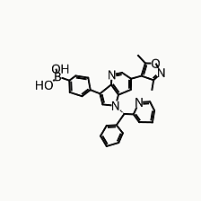 Cc1noc(C)c1-c1cnc2c(-c3ccc(B(O)O)cc3)cn([C@@H](c3ccccc3)c3ccccn3)c2c1